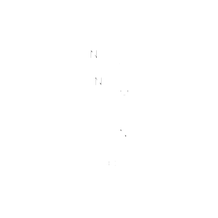 [c]1nccc(OCCN2CCOCC2)n1